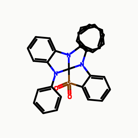 O=S1(=O)c2ccccc2N(c2ccccc2)C12N(c1ccccc1)c1ccccc1N2c1ccccc1